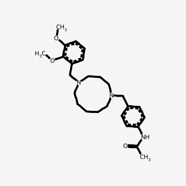 COc1cccc(CN2CCCCCN(Cc3ccc(NC(C)=O)cc3)CCC2)c1OC